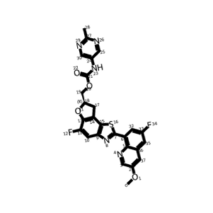 COc1cnc2c(-c3nc4cc(F)c5c(c4s3)C[C@H](COC(=O)Nc3cnc(C)nc3)O5)cc(F)cc2c1